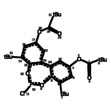 CC(C)(C)C(=O)Oc1cc(C(C)(C)C)c2op(Cl)oc3c(C(C)(C)C)cc(OC(=O)C(C)(C)C)cc3c2c1